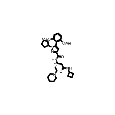 COc1cccc(OC)c1-c1cc(C(=O)N[C@@H](CCN2CCCCC2)CC(=O)NC2CCC2)nn1C1CCCC1